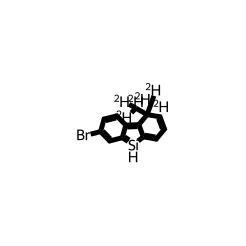 [2H]C([2H])([2H])C1(C([2H])([2H])[2H])C=CC=C2[SiH]=c3cc(Br)ccc3=C21